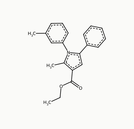 CCOC(=O)c1cc(-c2ccccc2)n(-c2cccc(C)c2)c1C